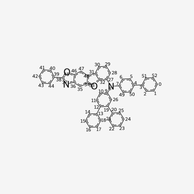 c1ccc(-c2ccc(N(c3ccc(-c4ccccc4)c(-c4ccccc4)c3)c3cccc4c3oc3cc5nc(-c6ccccc6)oc5cc34)cc2)cc1